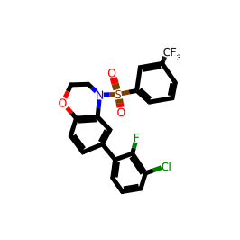 O=S(=O)(c1cccc(C(F)(F)F)c1)N1CCOc2ccc(-c3cccc(Cl)c3F)cc21